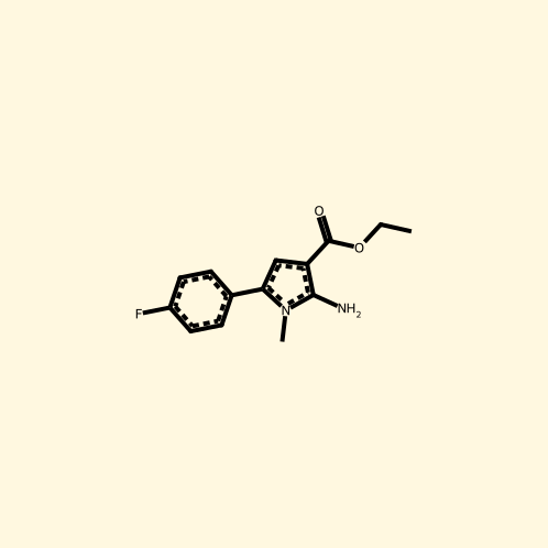 CCOC(=O)c1cc(-c2ccc(F)cc2)n(C)c1N